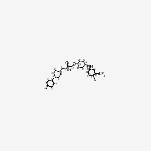 Cc1ccc(N2CCC(CNC(=O)COC3CCC(Nc4ccc(C)c(C(F)(F)F)c4)CC3)CC2)cc1